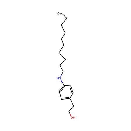 CCCCCCCCCCCCCCCCCCCNc1ccc(CCO)cc1